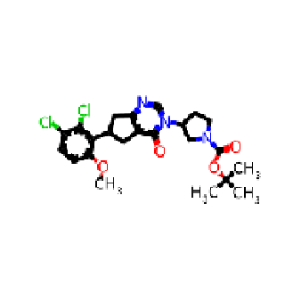 COc1ccc(Cl)c(Cl)c1C1Cc2ncn(C3CCN(C(=O)OC(C)(C)C)C3)c(=O)c2C1